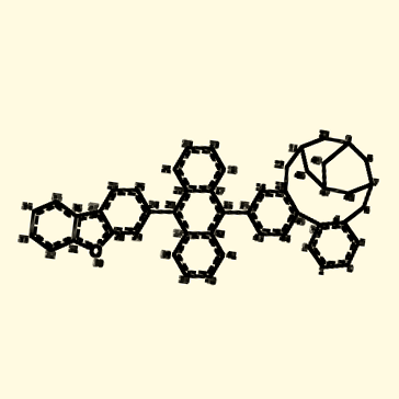 c1ccc2c(c1)CC1CC3CC(Cc4cc(-c5c6ccccc6c(-c6ccc7c(c6)oc6ccccc67)c6ccccc56)ccc4-2)CC(C1)C3